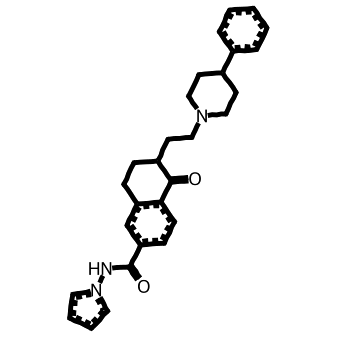 O=C(Nn1cccc1)c1ccc2c(c1)CCC(CCN1CCC(c3ccccc3)CC1)C2=O